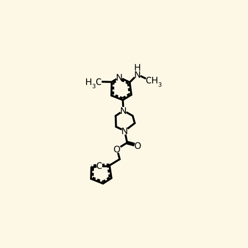 CNc1cc(N2CCN(C(=O)OCc3ccccc3)CC2)cc(C)n1